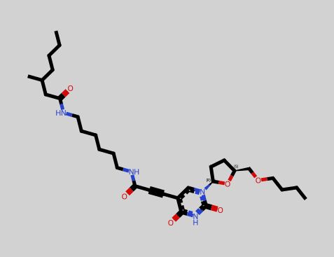 CCCCOC[C@@H]1CC[C@H](n2cc(C#CC(=O)NCCCCCCNC(=O)CC(C)CCCC)c(=O)[nH]c2=O)O1